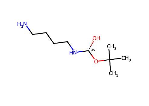 CC(C)(C)O[C@@H](O)NCCCCN